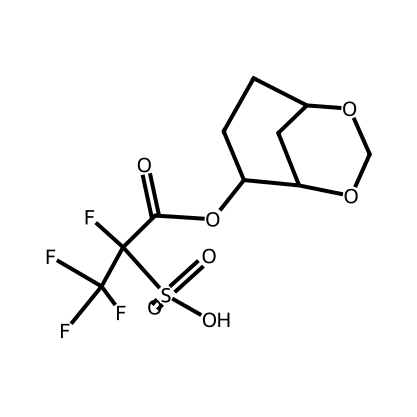 O=C(OC1CCC2CC1OCO2)C(F)(C(F)(F)F)S(=O)(=O)O